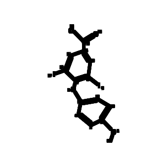 COc1ccc(Oc2c(I)cc(C(=O)Cl)cc2I)cc1